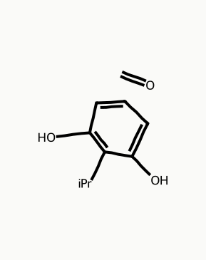 C=O.CC(C)c1c(O)cccc1O